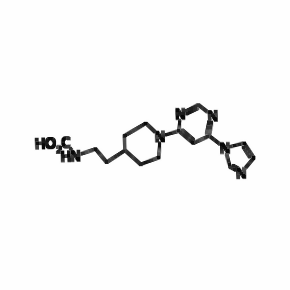 O=C(O)NCCC1CCN(c2cc(-n3ccnc3)ncn2)CC1